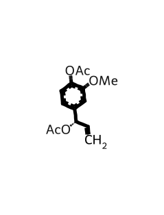 C=C[C@H](OC(C)=O)c1ccc(OC(C)=O)c(OC)c1